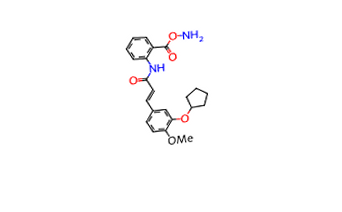 COc1ccc(/C=C/C(=O)Nc2ccccc2C(=O)ON)cc1OC1CCCC1